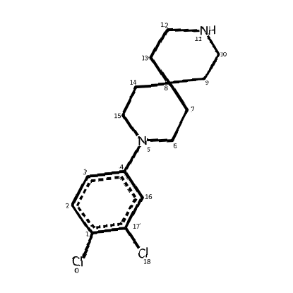 Clc1ccc(N2CCC3(CCNCC3)CC2)cc1Cl